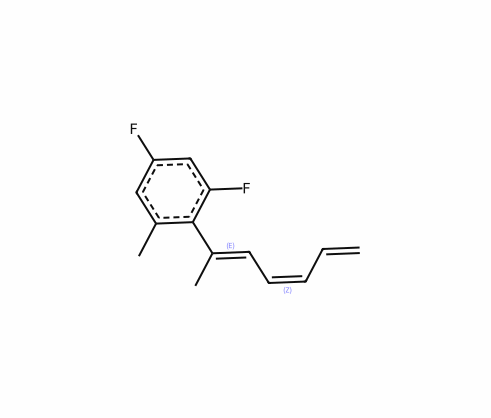 C=C/C=C\C=C(/C)c1c(C)cc(F)cc1F